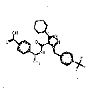 C[C@H](NC(=O)c1c(C2CCCCC2)nnn1Cc1ccc(C(F)(F)F)cc1)c1ccc(C(=O)O)cc1